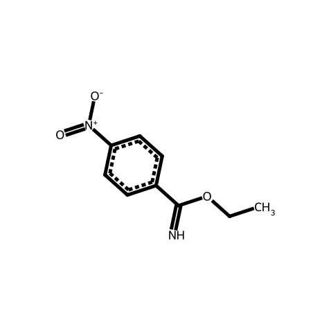 CCOC(=N)c1ccc([N+](=O)[O-])cc1